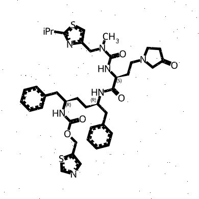 CC(C)c1nc(CN(C)C(=O)N[C@@H](CCN2CCC(=O)C2)C(=O)N[C@H](CC[C@H](Cc2ccccc2)NC(=O)OCc2cncs2)Cc2ccccc2)cs1